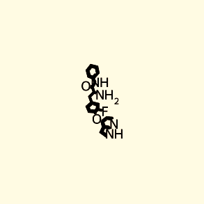 NC(Cc1ccc(Oc2ccnc3[nH]ccc23)c(F)c1)C(=O)Nc1ccccc1